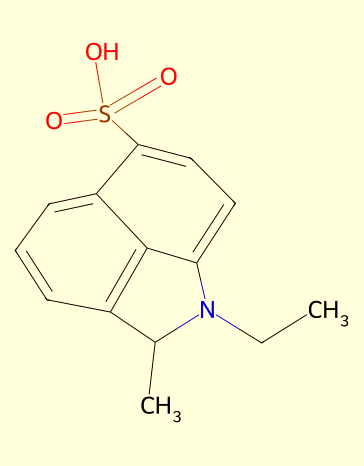 CCN1c2ccc(S(=O)(=O)O)c3cccc(c23)C1C